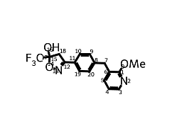 COc1ncccc1Cc1ccc(C2=NOC(O)(C(F)(F)F)C2)cc1